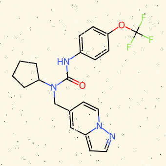 O=C(Nc1ccc(OC(F)(F)F)cc1)N(Cc1ccn2nccc2c1)C1CCCC1